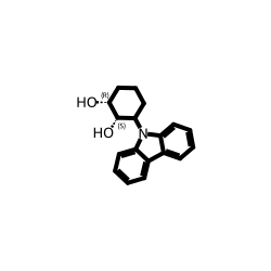 O[C@@H]1CCCC(n2c3ccccc3c3ccccc32)[C@@H]1O